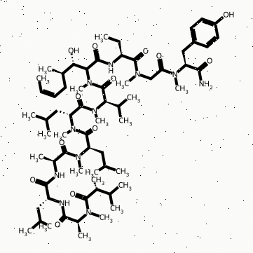 C/C=C\C[C@@H](C)[C@H](O)C(C(=O)N[C@@H](CC)C(=O)N(C)CC(=O)N(C)[C@@H](Cc1ccc(O)cc1)C(N)=O)N(C)C(=O)[C@@H](C(C)C)N(C)C(=O)[C@@H](CC(C)C)N(C)C(=O)[C@@H](CC(C)C)N(C)C(=O)[C@H](C)NC(=O)[C@@H](CC(C)C)NC(=O)[C@H](C)N(C)C(=O)[C@H](C)C(C)C